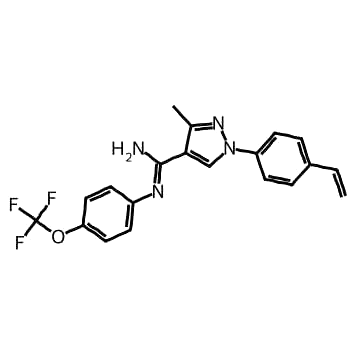 C=Cc1ccc(-n2cc(C(N)=Nc3ccc(OC(F)(F)F)cc3)c(C)n2)cc1